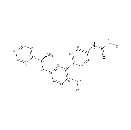 COC(=O)Nc1ccc(-c2cc(C[C@H](N)c3ccccc3)nnc2OC)cc1